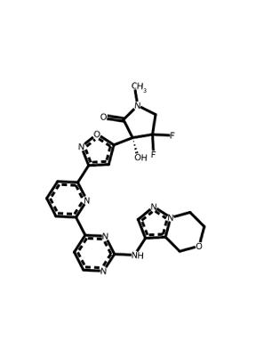 CN1CC(F)(F)[C@@](O)(c2cc(-c3cccc(-c4ccnc(Nc5cnn6c5COCC6)n4)n3)no2)C1=O